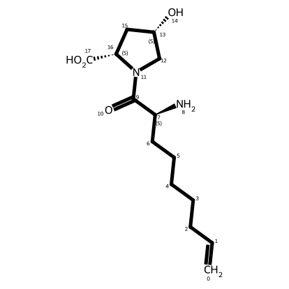 C=CCCCCC[C@H](N)C(=O)N1C[C@@H](O)C[C@H]1C(=O)O